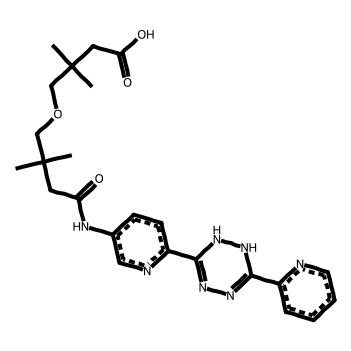 CC(C)(COCC(C)(C)CC(=O)Nc1ccc(C2=NN=C(c3ccccn3)NN2)nc1)CC(=O)O